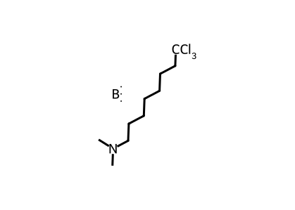 CN(C)CCCCCCCC(Cl)(Cl)Cl.[B]